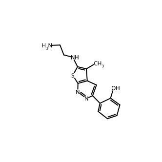 Cc1c(NCCN)sc2nnc(-c3ccccc3O)cc12